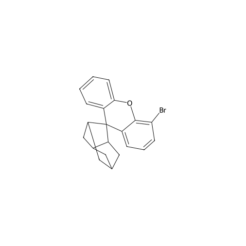 Brc1cccc2c1Oc1ccccc1C21C2CC3CC(C2)C1C3